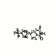 O=c1[nH]c(F)cc2cc(-c3ncc(C(F)(F)F)cn3)ccc12